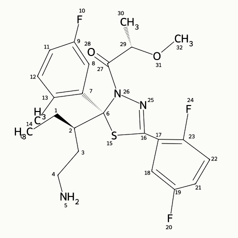 CC[C@H](CCN)[C@]1(c2cc(F)ccc2C)SC(c2cc(F)ccc2F)=NN1C(=O)[C@H](C)OC